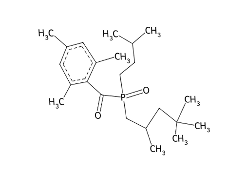 Cc1cc(C)c(C(=O)P(=O)(CCC(C)C)CC(C)CC(C)(C)C)c(C)c1